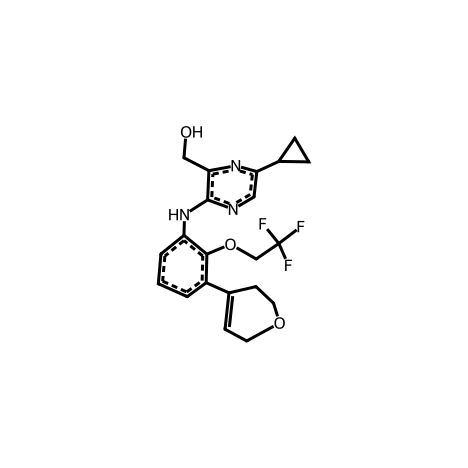 OCc1nc(C2CC2)cnc1Nc1cccc(C2=CCOCC2)c1OCC(F)(F)F